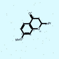 CCCC1CC(=O)c2ccc(OC)cc2O1